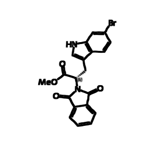 COC(=O)[C@H](Cc1c[nH]c2cc(Br)ccc12)N1C(=O)c2ccccc2C1=O